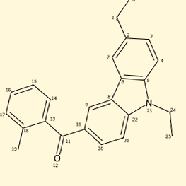 C[CH]c1ccc2c(c1)c1cc(C(=O)c3ccccc3C)ccc1n2CC